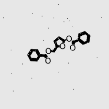 O=C(OCC1CC[C@@H](OC(=O)c2ccccc2)O1)c1ccccc1